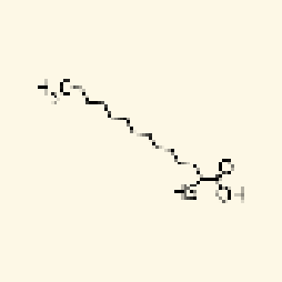 CCCCCCCCCCCCC(S)C(=O)O